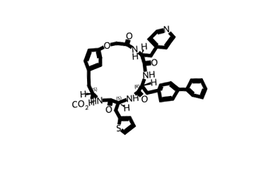 O=C1COc2ccc(cc2)C[C@@H](C(=O)O)NC(=O)[C@H](Cc2cccs2)NC(=O)[C@@H](Cc2ccc(-c3ccccc3)cc2)NC(=O)[C@H](Cc2ccncc2)N1